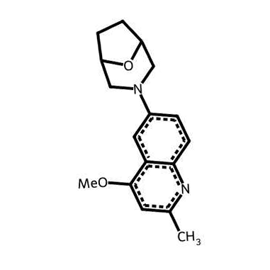 COc1cc(C)nc2ccc(N3CC4CCC(C3)O4)cc12